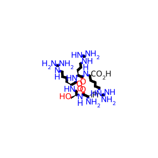 CC(C)[C@H](N)C(=O)N[C@@H](CO)C(=O)N[C@@H](CCCCNC(N)N)C(=O)N[C@@H](CCCNC(=N)N)C(=O)N[C@@H](CCCCNC(=N)N)C(=O)O